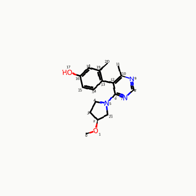 CO[C@H]1CCN(c2ncnc(C)c2-c2ccc(O)cc2C)C1